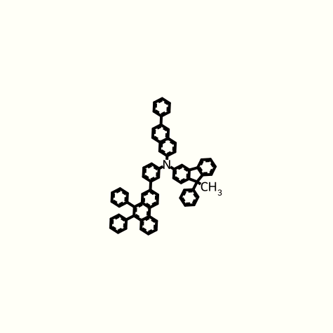 CC1(c2ccccc2)c2ccccc2-c2cc(N(c3cccc(-c4ccc5c(c4)c(-c4ccccc4)c(-c4ccccc4)c4ccccc45)c3)c3ccc4cc(-c5ccccc5)ccc4c3)ccc21